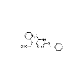 C[C@@H](NC(=O)OCc1ccccc1)C(=O)N(C[C]=O)c1ccccc1